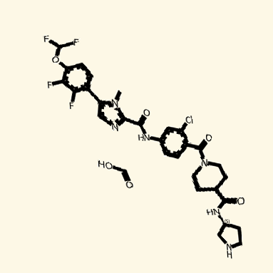 Cn1c(-c2ccc(OC(F)F)c(F)c2F)cnc1C(=O)Nc1ccc(C(=O)N2CCC(C(=O)N[C@H]3CCNC3)CC2)c(Cl)c1.O=CO